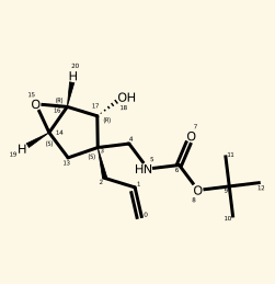 C=CC[C@@]1(CNC(=O)OC(C)(C)C)C[C@@H]2O[C@@H]2[C@@H]1O